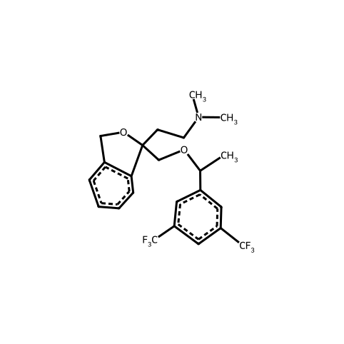 CC(OCC1(CCN(C)C)OCc2ccccc21)c1cc(C(F)(F)F)cc(C(F)(F)F)c1